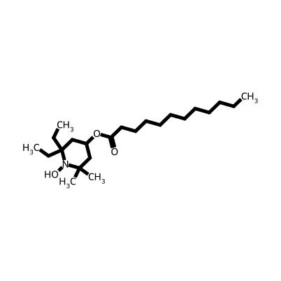 CCCCCCCCCCCC(=O)OC1CC(C)(C)N(O)C(CC)(CC)C1